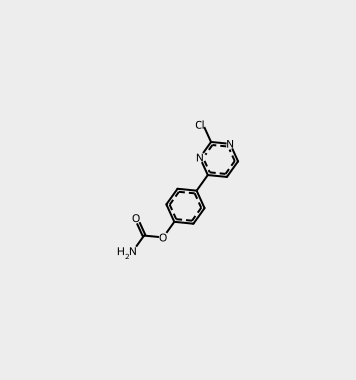 NC(=O)Oc1ccc(-c2ccnc(Cl)n2)cc1